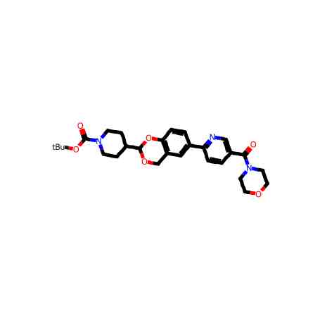 CC(C)(C)OC(=O)N1CCC(C2OCc3cc(-c4ccc(C(=O)N5CCOCC5)cn4)ccc3O2)CC1